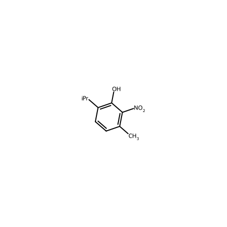 Cc1ccc(C(C)C)c(O)c1[N+](=O)[O-]